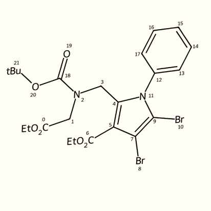 CCOC(=O)CN(Cc1c(C(=O)OCC)c(Br)c(Br)n1-c1ccccc1)C(=O)OC(C)(C)C